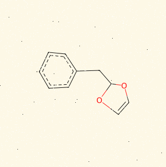 [c]1ccc(CC2OC=CO2)cc1